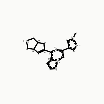 Cn1cc(-c2cn3nccc3c(C3=CC4CNCC4C3)n2)cn1